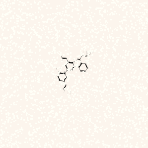 CC=Cc1ccc(OC)c(-c2ccc(OC(CCNC)c3ccccc3)c(C=CC)c2)c1